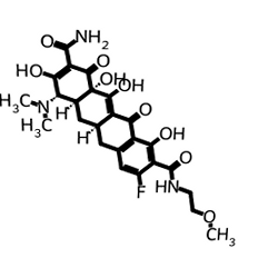 COCCNC(=O)c1c(F)cc2c(c1O)C(=O)C1=C(O)[C@]3(O)C(=O)C(C(N)=O)=C(O)[C@@H](N(C)C)[C@@H]3C[C@@H]1C2